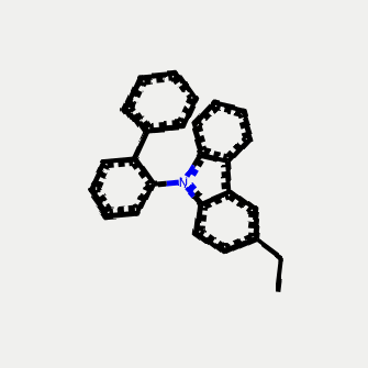 CCc1ccc2c(c1)c1ccccc1n2-c1ccccc1-c1ccccc1